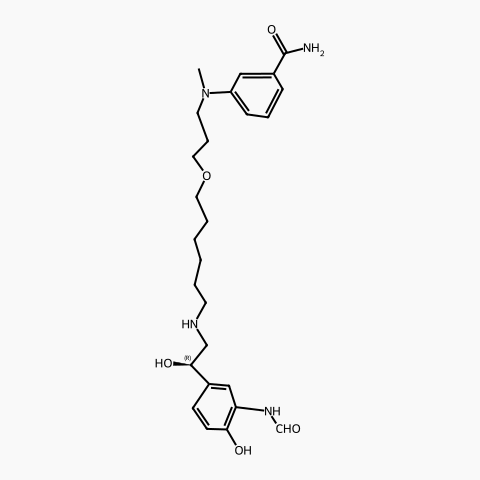 CN(CCCOCCCCCCNC[C@H](O)c1ccc(O)c(NC=O)c1)c1cccc(C(N)=O)c1